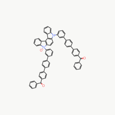 O=C(c1ccccc1)c1ccc(-c2ccc(-c3cccc(-n4c5ccccc5c5c6c(ccc54)[N+]([O-])(c4cccc(-c5ccc(-c7ccc(C(=O)c8ccccc8)cc7)cc5)c4)c4ccccc4-6)c3)cc2)cc1